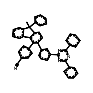 CC1(c2ccccc2)c2ccccc2-c2c1ccc(-c1cccc(-c3nc(-c4ccccc4)nc(-c4ccccc4)n3)c1)c2-c1ccc(C#N)cc1